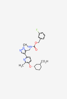 Cc1nc(-c2cnn(C)c2CNC(=O)OCc2cccc(F)c2)ccc1O[C@H]1CCC[C@H](C(=O)O)C1